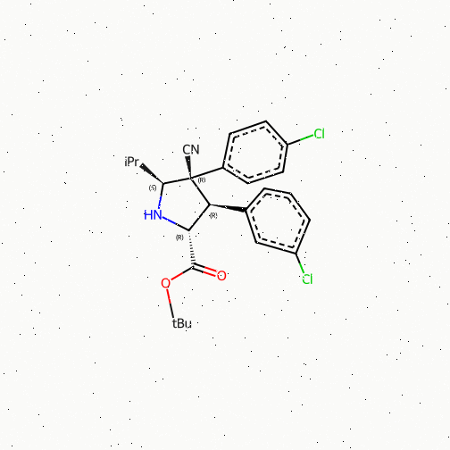 CC(C)[C@@H]1N[C@@H](C(=O)OC(C)(C)C)[C@H](c2cccc(Cl)c2)[C@@]1(C#N)c1ccc(Cl)cc1